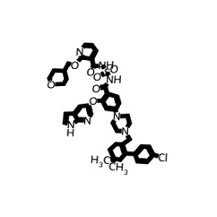 CC1(C)CCC(CN2CCN(c3ccc(C(=O)NS(=O)(=O)NC(=O)c4cccnc4OCC4CCOCC4)c(Oc4cnc5[nH]ccc5c4)c3)CC2)=C(c2ccc(Cl)cc2)C1